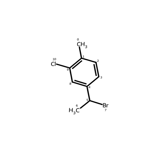 Cc1ccc(C(C)Br)cc1Cl